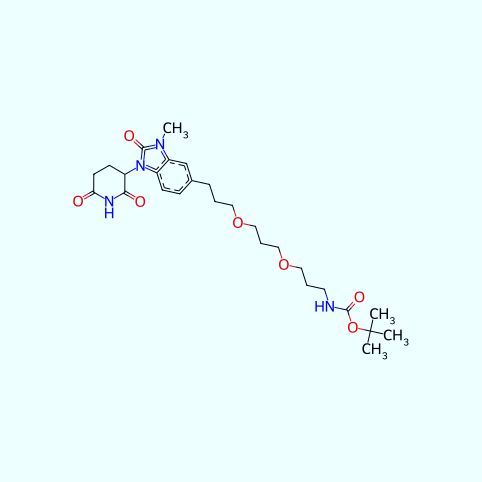 Cn1c(=O)n(C2CCC(=O)NC2=O)c2ccc(CCCOCCCOCCCNC(=O)OC(C)(C)C)cc21